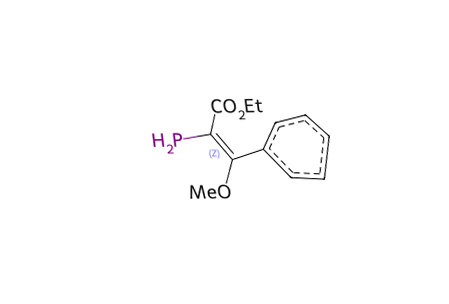 CCOC(=O)/C(P)=C(/OC)c1ccccc1